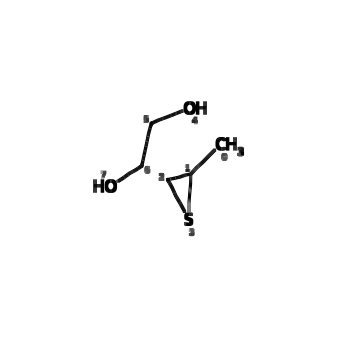 CC1CS1.OCCO